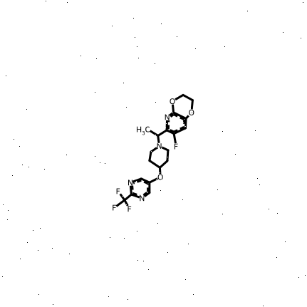 CC(c1nc2c(cc1F)OCCO2)N1CCC(Oc2cnc(C(F)(F)F)nc2)CC1